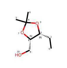 CC[C@H]1OC(C)(C)O[C@H]1CO